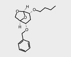 CCCCO[C@@H]1C[C@H](OCc2ccccc2)[C@H]2CO[C@@H]1O2